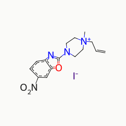 C=CC[N+]1(C)CCN(c2nc3ccc([N+](=O)[O-])cc3o2)CC1.[I-]